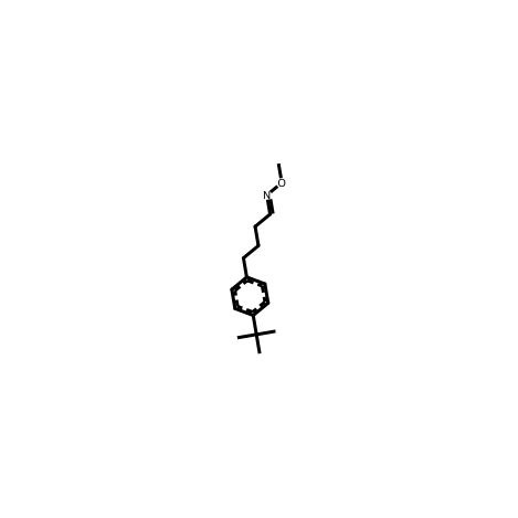 CON=CCCCc1ccc(C(C)(C)C)cc1